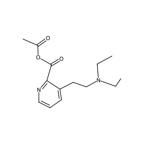 CCN(CC)CCc1cccnc1C(=O)OC(C)=O